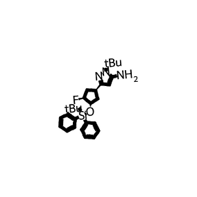 CC(C)(C)n1nc([C@H]2C[C@H](O[Si](c3ccccc3)(c3ccccc3)C(C)(C)C)[C@@H](F)C2)cc1N